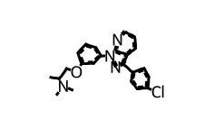 CC(COc1cccc(-n2nc(-c3ccc(Cl)cc3)c3cccnc32)c1)N(C)C